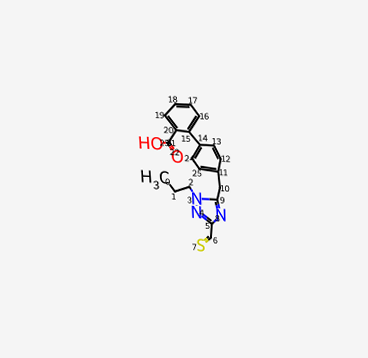 CCCn1nc(C=S)nc1Cc1ccc(-c2ccccc2C(=O)O)cc1